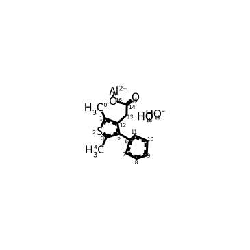 Cc1sc(C)c(-c2ccccc2)c1CC(=O)[O][Al+2].[OH-].[OH-]